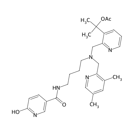 CC(=O)OC(C)(C)c1cccnc1CN(CCCCNC(=O)c1ccc(O)nc1)Cc1ncc(C)cc1C